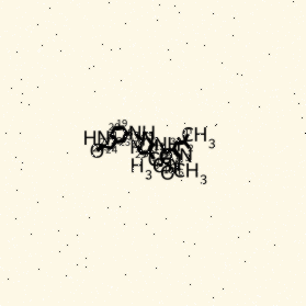 Cc1cnc(N(C)S(C)(=O)=O)c(CNc2nc(Nc3ccc4c(c3)CC(=O)N4)ncc2C(F)(F)F)c1